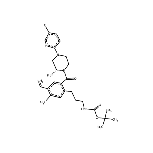 C=Cc1cc(C(=O)N2CCN(c3ccc(F)cn3)C[C@H]2C)c(CCCNC(=O)OC(C)(C)C)cc1C